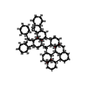 c1ccc(-c2cccc3cccc(-c4ccccc4N(c4ccc5c(c4)c4ccccc4n5-c4ccccc4)c4ccccc4-c4ccc5oc6ccccc6c5c4)c23)cc1